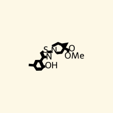 COC(=O)C12CCN(c3nc(-c4cc(C)ccc4O)cs3)CCC1C2